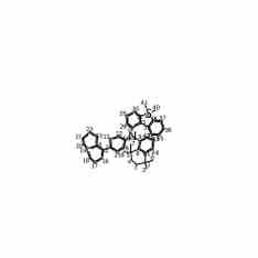 CC1(C)CCC(C)(C)c2c(N(c3ccc(-c4cccc5ccccc45)cc3)c3cccc4c3-c3ccccc3S4(C)C)cccc21